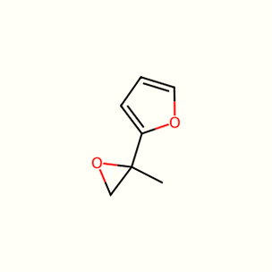 CC1(c2ccco2)CO1